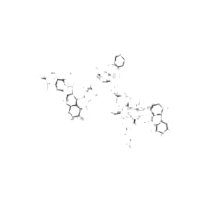 CC[C@@]1(O)C(=O)OCc2c1cc1n(c2=O)Cc2c-1nc1cc(F)c(C)c3c1c2[C@@H](NC(=O)CNC(=O)[C@H](Cc1ccccc1)NC(=O)CNC(=O)CN(C(=O)OC(C)(C)C)C(=O)[C@H](CCCCN)NC(=O)OCC1c2ccccc2-c2ccccc21)CC3